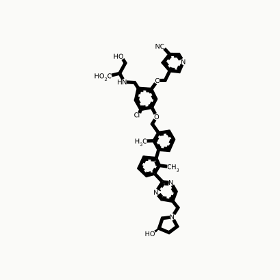 Cc1c(COc2cc(OCc3cncc(C#N)c3)c(CNC(CO)C(=O)O)cc2Cl)cccc1-c1cccc(-c2ncc(CN3CC[C@@H](O)C3)cn2)c1C